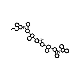 C/C=C\C=C/c1cc(-n2c3ccccc3c3cc(-c4ccc(-c5ccc6c(c5)C(C)(C)c5cc(-c7ccc(-c8ccc9c(c8)c8ccccc8n9-c8cc9ccccc9c9ccccc89)c8ccccc78)ccc5-6)c5ccccc45)ccc32)cc2ccccc12